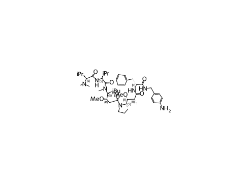 CC[C@H](C)[C@@H]([C@@H](CC(=O)N1CCC[C@H]1[C@H](OC)[C@@H](C)C(=O)N[C@H](Cc1ccccc1)C(=O)NCc1ccc(N)cc1)OC)N(C)C(=O)[C@@H](NC(=O)[C@H](C(C)C)N(C)C)C(C)C